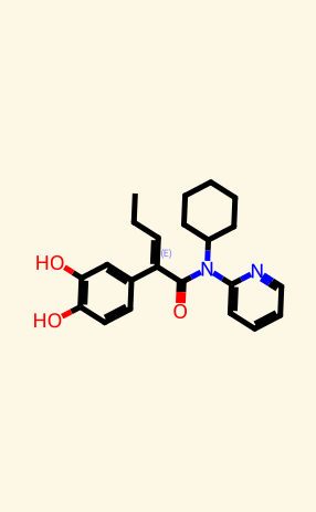 CC/C=C(/C(=O)N(c1ccccn1)C1CCCCC1)c1ccc(O)c(O)c1